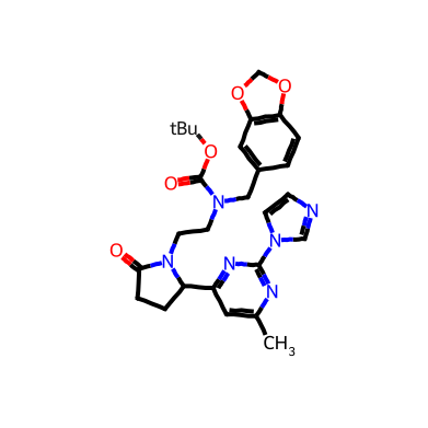 Cc1cc(C2CCC(=O)N2CCN(Cc2ccc3c(c2)OCO3)C(=O)OC(C)(C)C)nc(-n2ccnc2)n1